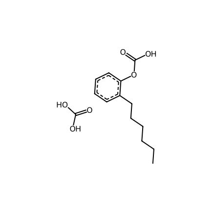 CCCCCCc1ccccc1OC(=O)O.O=C(O)O